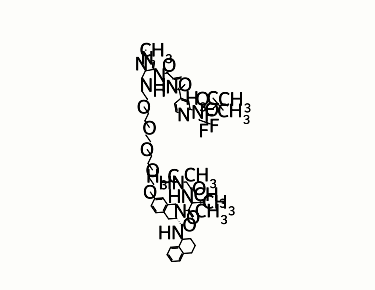 CNC(C)C(=O)NC(C(=O)N1Cc2cc(OCCOCCOCCOCCOCCNCc3nn(C)cc3NC(=O)c3coc(-c4ccnc(N(CC(F)(F)F)C(=O)OC(C)(C)C)c4)n3)ccc2C[C@H]1C(=O)N[C@@H]1CCCc2ccccc21)C(C)(C)C